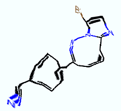 N#Cc1ccc(-c2ccc3ncc(Br)n3n2)cc1